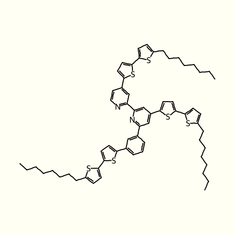 CCCCCCCCc1ccc(-c2ccc(-c3cccc(-c4cc(-c5ccc(-c6ccc(CCCCCCCC)s6)s5)cc(-c5cc(-c6ccc(-c7ccc(CCCCCCCC)s7)s6)ccn5)n4)c3)s2)s1